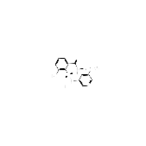 CCCCc1cccc(C(=O)NCCC)c1S(=O)(=O)N(C)c1cncc(OC)c1